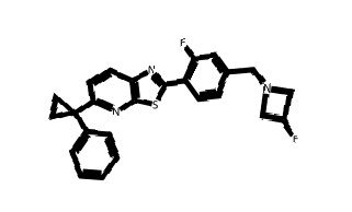 Fc1cc(CN2CC(F)C2)ccc1-c1nc2ccc(C3(c4ccccc4)CC3)nc2s1